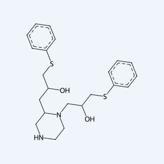 OC(CSc1ccccc1)CC1CNCCN1CC(O)CSc1ccccc1